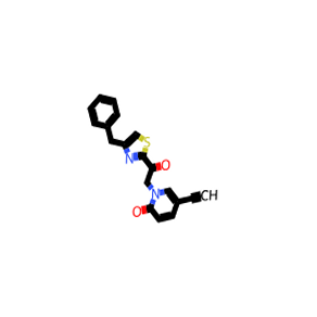 C#Cc1ccc(=O)n(CC(=O)c2nc(Cc3ccccc3)cs2)c1